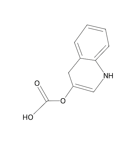 O=C(O)OC1=CNc2ccccc2C1